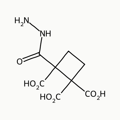 NNC(=O)C1(C(=O)O)CCC1(C(=O)O)C(=O)O